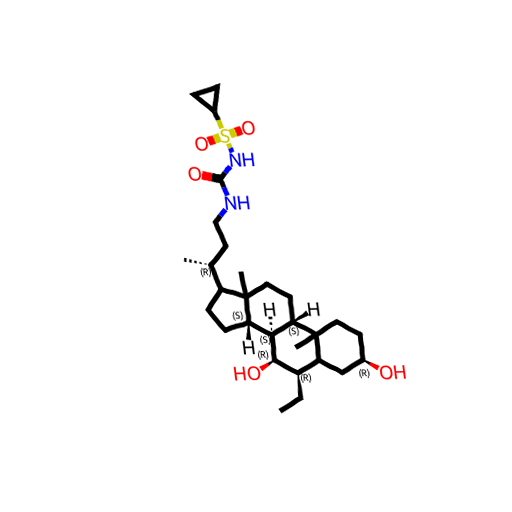 CC[C@@H]1C2C[C@H](O)CCC2(C)[C@H]2CCC3(C)C([C@H](C)CCNC(=O)NS(=O)(=O)C4CC4)CC[C@H]3[C@@H]2[C@@H]1O